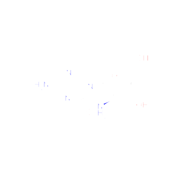 C#C[C@@]1(N)C(O)[C@@H](CO)O[C@H]1n1cnc(N)nc1=O